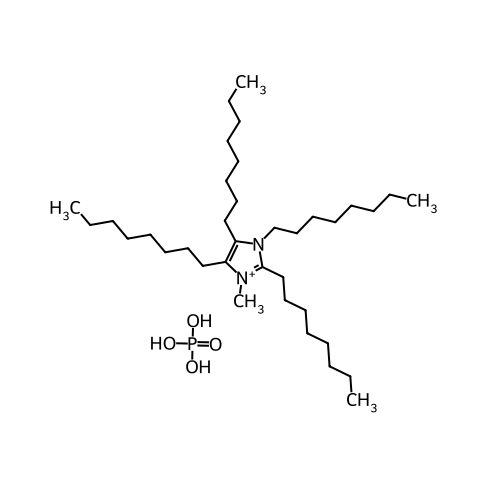 CCCCCCCCc1c(CCCCCCCC)[n+](C)c(CCCCCCCC)n1CCCCCCCC.O=P(O)(O)O